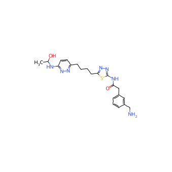 CC(O)Nc1ccc(CCCCc2nnc(NC(=O)Cc3cccc(CN)c3)s2)nn1